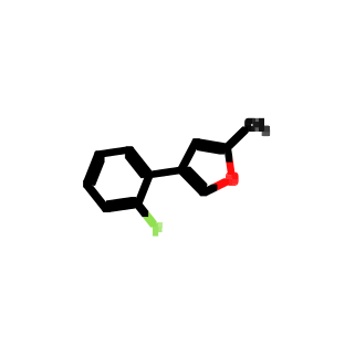 Cc1cc(-c2ccccc2F)co1